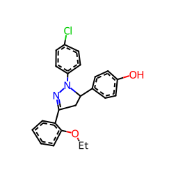 CCOc1ccccc1C1=NN(c2ccc(Cl)cc2)C(c2ccc(O)cc2)C1